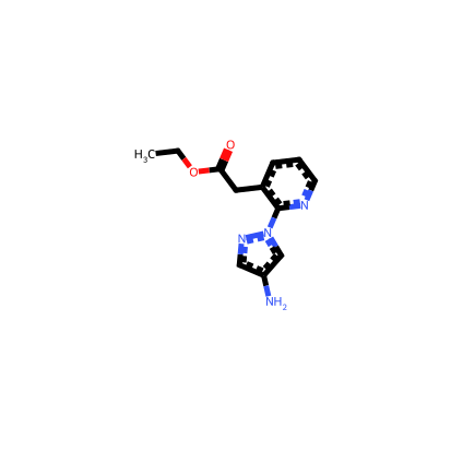 CCOC(=O)Cc1cccnc1-n1cc(N)cn1